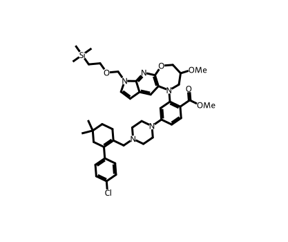 COC(=O)c1ccc(N2CCN(CC3=C(c4ccc(Cl)cc4)CC(C)(C)CC3)CC2)cc1N1CC(OC)COc2nc3c(ccn3COCC[Si](C)(C)C)cc21